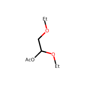 CCOCC(OCC)OC(C)=O